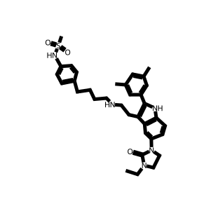 CCN1CCN(c2ccc3[nH]c(-c4cc(C)cc(C)c4)c(CCNCCCCc4ccc(NS(C)(=O)=O)cc4)c3c2)C1=O